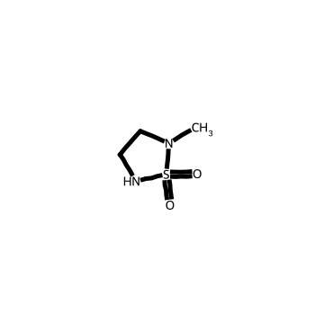 CN1CCNS1(=O)=O